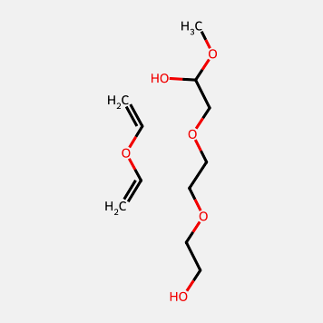 C=COC=C.COC(O)COCCOCCO